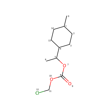 CC1CCC(C(C)OC(=O)OCCl)CC1